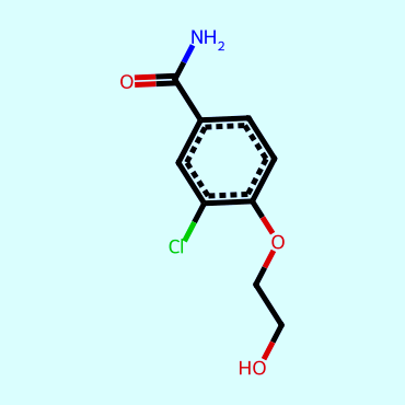 NC(=O)c1ccc(OCCO)c(Cl)c1